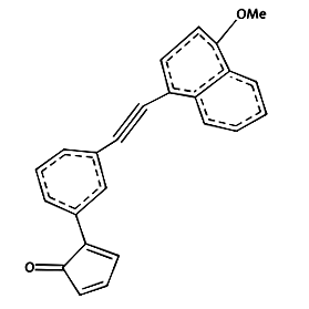 COc1ccc(C#Cc2cccc(C3=CC=CC3=O)c2)c2ccccc12